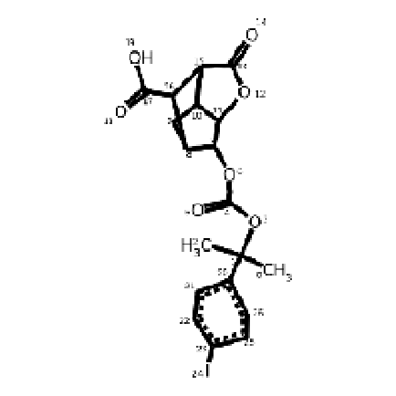 CC(C)(OC(=O)OC1C2CC3C1OC(=O)C3C2C(=O)O)c1ccc(I)cc1